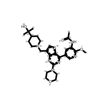 COc1ncc(-c2nc(N3CCOCC3)nc3c(CN4CCC(C(C)(C)O)CC4)csc23)cc1NC(C)=O